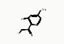 COc1ccc(C(=O)CBr)c(Cl)c1